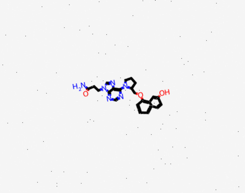 NC(=O)CCn1cnc2c(N3CCCC3COc3cccc4ccc(O)cc34)ncnc21